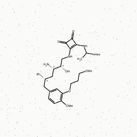 CCCCCCC(C)Nc1c(NC[C@H](O)[C@@H](N)C[C@H](Cc2ccc(OC)c(OCCCOC)c2)C(C)C)c(=O)c1=O